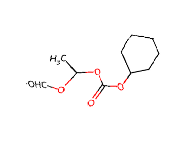 CC(O[C]=O)OC(=O)OC1CCCCC1